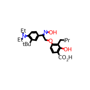 CCN(CC)c1ccc(C(COc2ccc(C(=O)O)c(O)c2CC(C)C)=NO)cc1C(C)(C)C